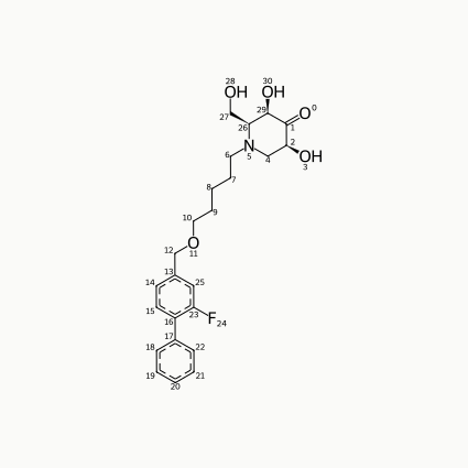 O=C1[C@@H](O)CN(CCCCCOCc2ccc(-c3ccccc3)c(F)c2)[C@@H](CO)[C@H]1O